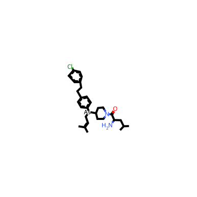 CC(C)=CC[As](c1ccc(CCc2ccc(Cl)cc2)cc1)C1CCN(C(=O)C(N)CC(C)C)CC1